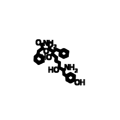 NC(=O)C(Cc1ccccc1)OC(=O)C(Cc1ccccc1)C(O)/C=C/CC(O)C(N)Cc1ccc(O)cc1